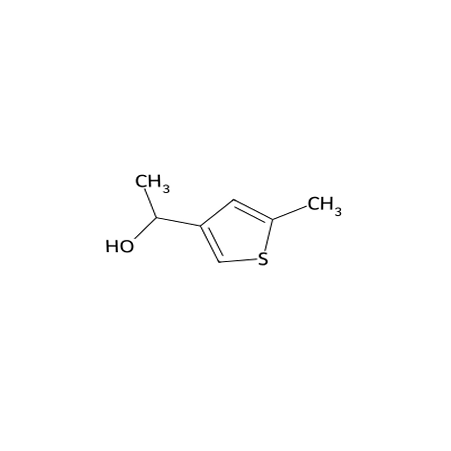 Cc1cc(C(C)O)cs1